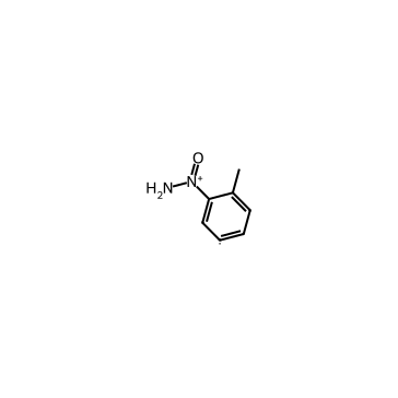 Cc1cc[c]cc1[N+](N)=O